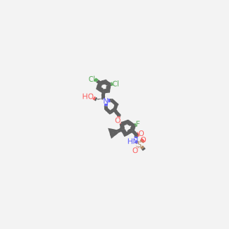 CS(=O)(=O)NC(=O)c1cc(C2CC2)c(OCC2CCN([C@H](CO)c3cc(Cl)cc(Cl)c3)CC2)cc1F